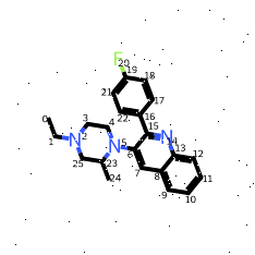 CCN1CCN(c2cc3ccccc3nc2-c2ccc(F)cc2)C(C)C1